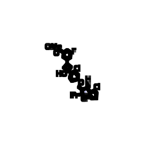 COC(=O)c1cc(F)cc(C2CC(O)(c3ccc(OC/C(C(=N)c4c(Cl)cccc4Cl)=C(/S)C(C)C)cc3Cl)C2)c1